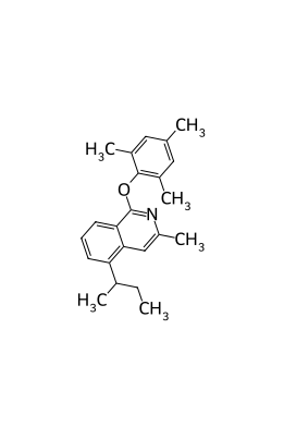 CCC(C)c1cccc2c(Oc3c(C)cc(C)cc3C)nc(C)cc12